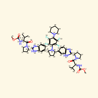 COC(=O)NC(C(=O)N1CCC[C@H]1c1nc2ccc([C@H]3CC[C@H](c4ccc5nc([C@@H]6CCCN6C(=O)[C@@H](NC(=O)OC)C(C)C)[nH]c5c4)N3c3c(F)c(F)c(N4CCCCC4)c(F)c3F)cc2[nH]1)C(C)C